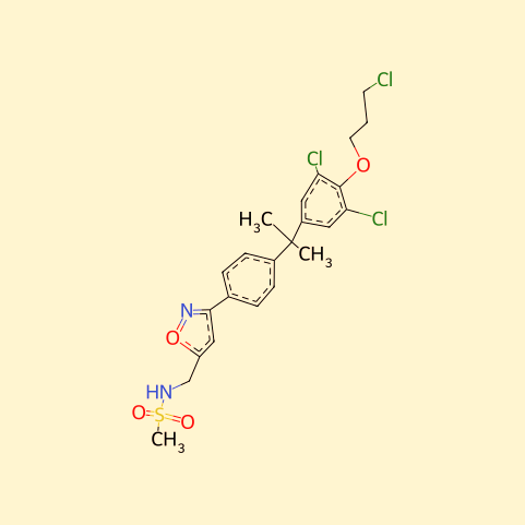 CC(C)(c1ccc(-c2cc(CNS(C)(=O)=O)on2)cc1)c1cc(Cl)c(OCCCCl)c(Cl)c1